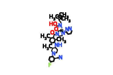 Cc1cc(C)c(C(=O)N2CCN(c3cccnn3)[C@@H](CN(CC[Si](C)(C)C)C(=O)O)C2)c(C)c1NC1CCN(c2ccc(F)cc2C#N)CC1